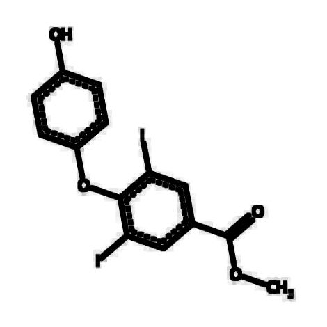 COC(=O)c1cc(I)c(Oc2ccc(O)cc2)c(I)c1